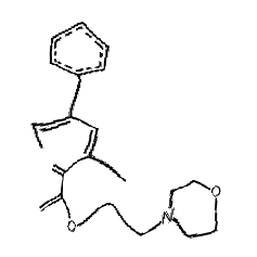 C=C(OCCN1CCOCC1)C(=C)/C(C)=C\C(=C/C)c1ccccc1